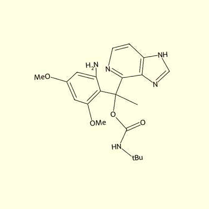 COc1cc(N)c(C(C)(OC(=O)NC(C)(C)C)c2nccc3[nH]cnc23)c(OC)c1